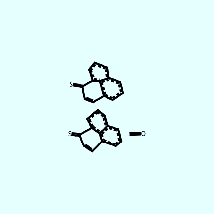 C=O.S=C1C=Cc2cccc3cccc1c23.S=C1C=Cc2cccc3cccc1c23